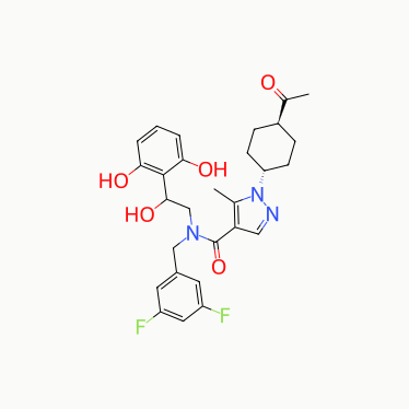 Cc1c(C(=O)N(Cc2cc(F)cc(F)c2)CC(O)c2c(O)cccc2O)cnn1[C@H]1CC[C@H](C(C)=O)CC1